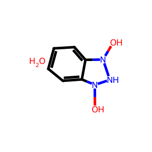 O.ON1NN(O)c2ccccc21